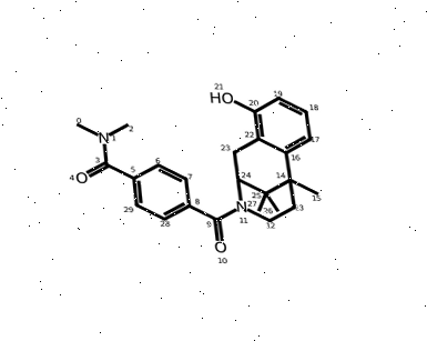 CN(C)C(=O)c1ccc(C(=O)N2CCC3(C)c4cccc(O)c4CC2C3(C)C)cc1